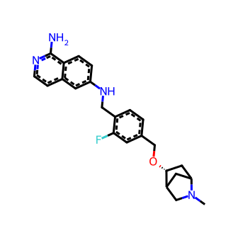 CN1CC2CC1C[C@H]2OCc1ccc(CNc2ccc3c(N)nccc3c2)c(F)c1